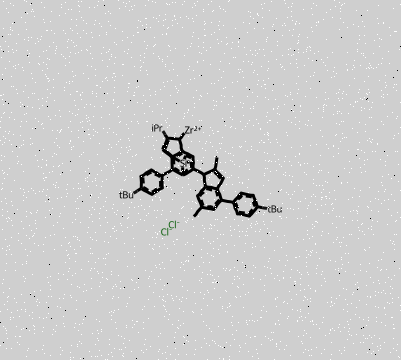 CC1=Cc2c(-c3ccc(C(C)(C)C)cc3)cc(C)cc2C1c1cc2c3c(-c4ccc(C(C)(C)C)cc4)c1[Si](C)(C)C3=C(C(C)C)[CH]2[Zr+2].[Cl-].[Cl-]